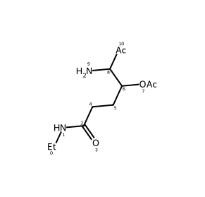 CCNC(=O)CCC(OC(C)=O)C(N)C(C)=O